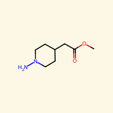 COC(=O)CC1CCN(N)CC1